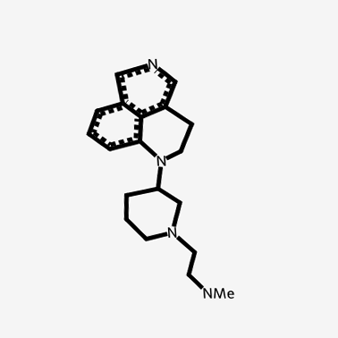 CNCCN1CCCC(N2CCc3cncc4cccc2c34)C1